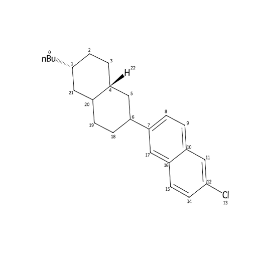 CCCC[C@@H]1CC[C@@H]2CC(c3ccc4cc(Cl)ccc4c3)CCC2C1